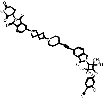 CC1(C)C(Oc2ccc(C#N)c(Cl)c2)C(C)(C)C1N1Cc2ccc(C#CC3CCN(C4CC5(C4)CN(c4ccc6c(c4)C(=O)N(C4CCC(=O)NC4=O)C6=O)C5)CC3)cc2C1=O